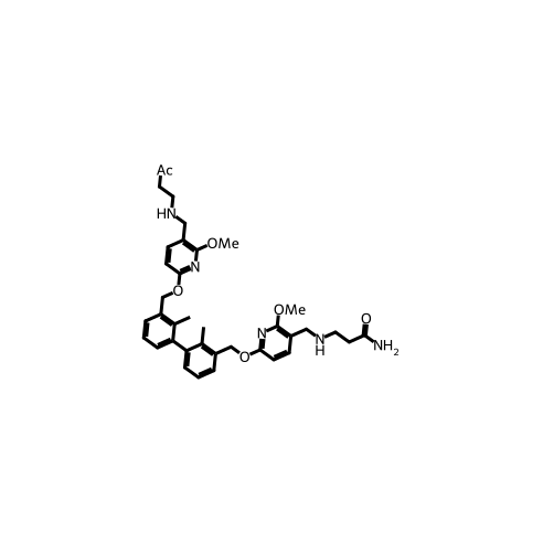 COc1nc(OCc2cccc(-c3cccc(COc4ccc(CNCCC(N)=O)c(OC)n4)c3C)c2C)ccc1CNCCC(C)=O